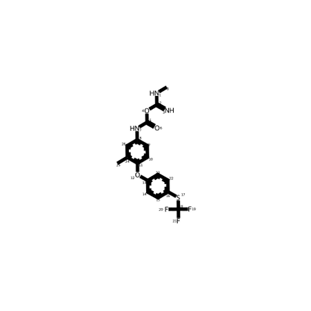 CNC(=N)OC(=O)Nc1ccc(Oc2ccc(SC(F)(F)F)cc2)c(C)c1